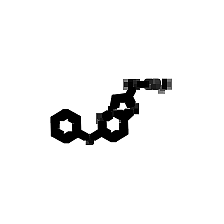 O=C(O)Nc1cn2nc(Sc3ccccc3)ccc2n1